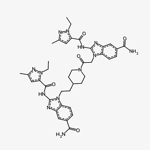 CCn1nc(C)cc1C(=O)Nc1nc2cc(C(N)=O)ccc2n1CCC1CCN(C(=O)Cn2c(NC(=O)c3cc(C)nn3CC)nc3cc(C(N)=O)ccc32)CC1